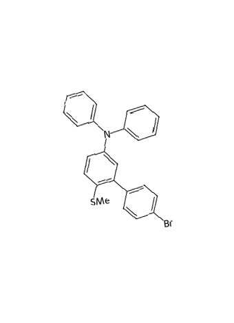 CSc1ccc(N(c2ccccc2)c2ccccc2)cc1-c1ccc(Br)cc1